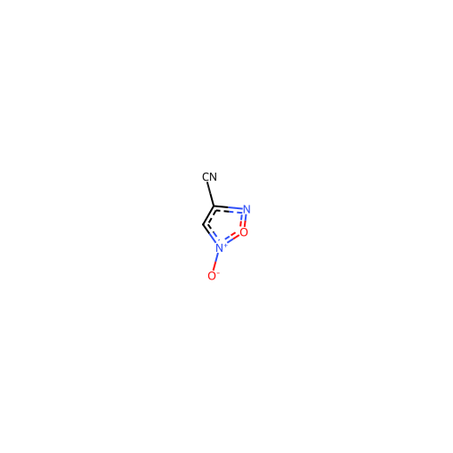 N#Cc1c[n+]([O-])on1